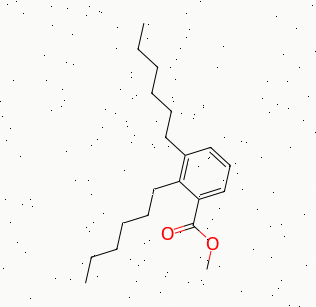 CCCCCCc1cccc(C(=O)OC)c1CCCCCC